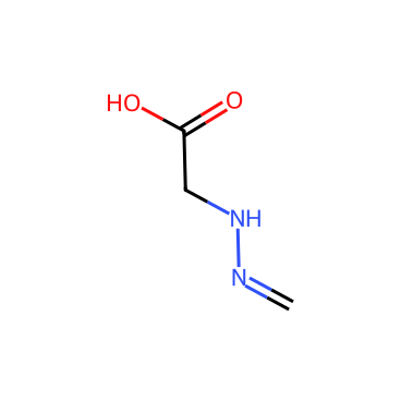 C=NNCC(=O)O